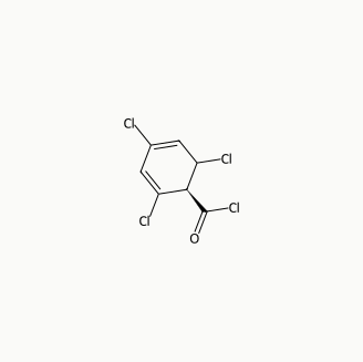 O=C(Cl)[C@H]1C(Cl)=CC(Cl)=CC1Cl